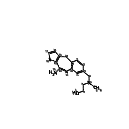 CN(CCO)Cc1ccc2c(c1)N=C(N)c1sccc1C2